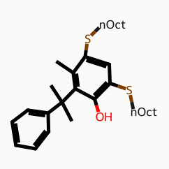 CCCCCCCCSc1cc(SCCCCCCCC)c(O)c(C(C)(C)c2ccccc2)c1C